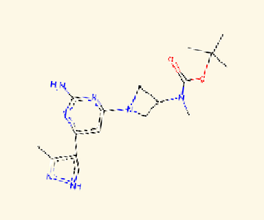 Cc1n[nH]cc1-c1cc(N2CC(N(C)C(=O)OC(C)(C)C)C2)nc(N)n1